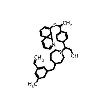 C=CC1=CC(CC2CCCN(C(CO)C3C=CC(C(=C)SC4=CC=CC56C=CC=NC5C46)=CC3)CC2)CC(C)=C1